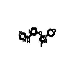 Ic1cc(Oc2ccnc(Nc3cnccn3)c2)n(C2CCOCC2)n1